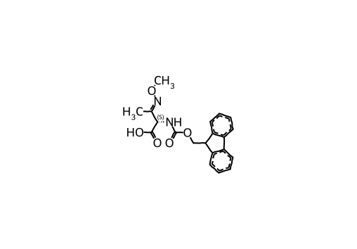 CON=C(C)[C@H](NC(=O)OCC1c2ccccc2-c2ccccc21)C(=O)O